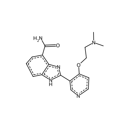 CN(C)CCOc1ccncc1-c1nc2c(C(N)=O)cccc2[nH]1